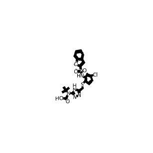 CC(C)(C)N(C(=O)O)c1nnc(CSc2ccc(Cl)cc2NS(=O)(=O)c2cc3ccccc3o2)[nH]1